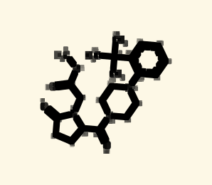 COC(=O)CN1C(=O)CCC1C(=O)N1CCN(c2ccccc2C(C)(C)C)CC1